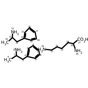 CC(N)Cc1ccccc1.CC(N)Cc1ccccc1.NCCCCC(N)C(=O)O